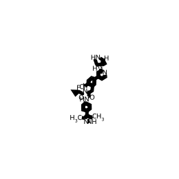 Cc1n[nH]c(C)c1-c1ccc(NC(=O)C(Cc2cc(-c3ccnc(N4C[C@@H]5C[C@H]4CN5)c3)ccc2Cl)NC(=O)C2(F)CC2)cc1